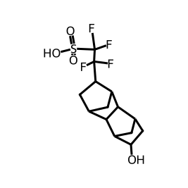 O=S(=O)(O)C(F)(F)C(F)(F)C1CC2CC1C1C3CC(O)C(C3)C21